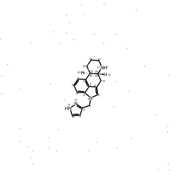 c1cc2c3c(cn(Cc4cc[nH]n4)c3c1)C[C@H]1NCCC[C@H]21